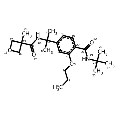 CCCOc1cc(C(C)(C)NC(=O)C2(C)COC2)ccc1C(=O)NC(C)(C)C